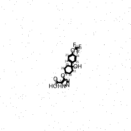 O=C(O)c1[nH]nnc1OC1CCC(O)(c2ccc(OC(F)(F)F)cc2)CC1